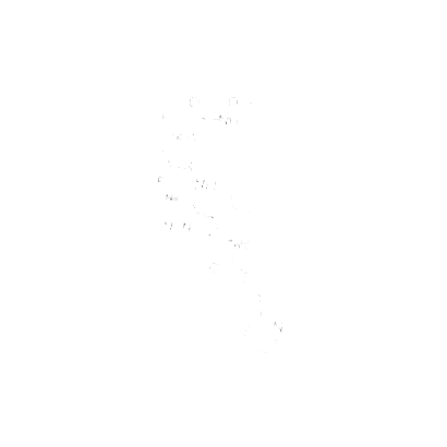 CONC(=O)c1cc(Nc2ncnn3cc(NC(=O)OCCc4ccccn4)c(C(C)C)c23)c(F)cc1F